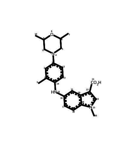 Cc1cc(N2CC(C)OC(C)C2)ccc1Nc1ccc2c(c1)c(C(=O)O)cn2C